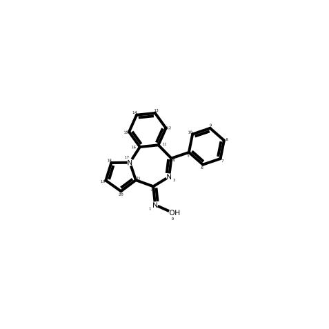 ON=c1nc(-c2ccccc2)c2ccccc2n2cccc12